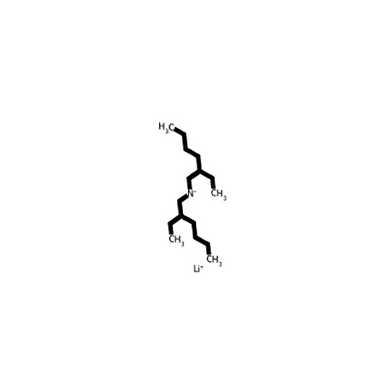 CCCCC(CC)C[N-]CC(CC)CCCC.[Li+]